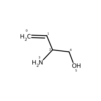 C=CC(N)CO